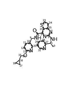 C[C@H](Nc1nc(C(=O)NCc2ccc(OCC3CC3)nc2)c2sccc2n1)c1ccccn1